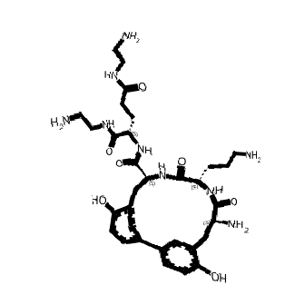 NCCC[C@@H]1NC(=O)[C@@H](N)Cc2cc(ccc2O)-c2ccc(O)c(c2)C[C@@H](C(=O)N[C@@H](CCC(=O)NCCN)C(=O)NCCN)NC1=O